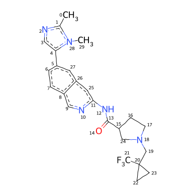 Cc1ncc(-c2ccc3cnc(NC(=O)C4CCN(CC5(C(F)(F)F)CC5)C4)cc3c2)n1C